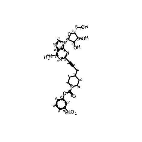 Nc1nc(C#CCC2CCN(C(=O)Oc3cccc([N+](=O)[O-])c3)CC2)nc2c1ncn2[C@@H]1O[C@H](CO)C(O)C1O